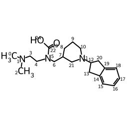 CN(C)CCN(CC1CCCN(C2Cc3ccccc3C2)C1)C(=O)O